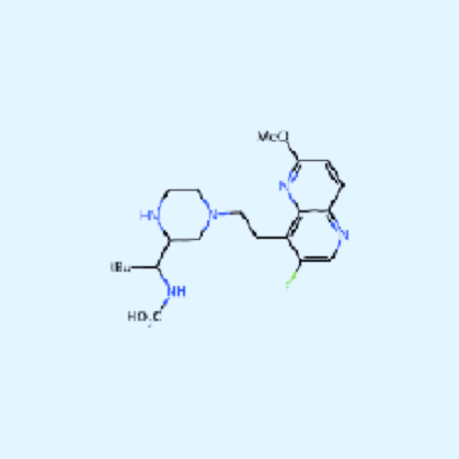 COc1ccc2ncc(F)c(CCN3CCNC(C(NC(=O)O)C(C)(C)C)C3)c2n1